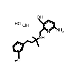 COc1cccc(CCC(C)(C)NCc2nc(N)ccc2CO)c1.Cl.Cl